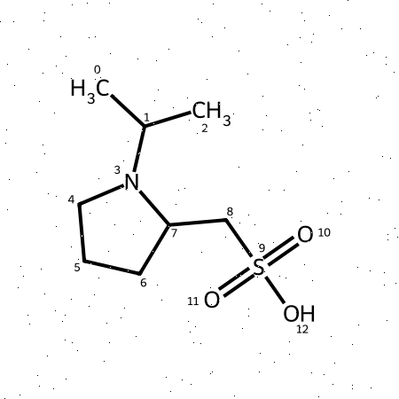 CC(C)N1CCCC1CS(=O)(=O)O